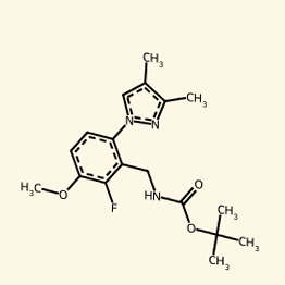 COc1ccc(-n2cc(C)c(C)n2)c(CNC(=O)OC(C)(C)C)c1F